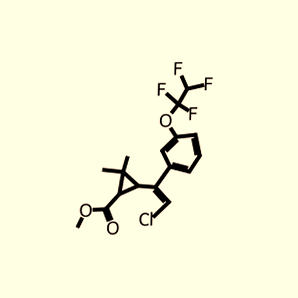 COC(=O)C1C(C(=CCl)c2cccc(OC(F)(F)C(F)F)c2)C1(C)C